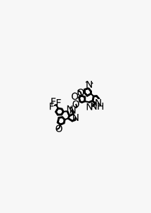 COc1cccc(-c2ccnc3c2c(-c2cccc(C(F)(F)F)c2)nn3COc2cc(-c3n[nH]c4nccc(-c5cccc(N(C)C)c5)c34)cc(OC)c2OC)c1